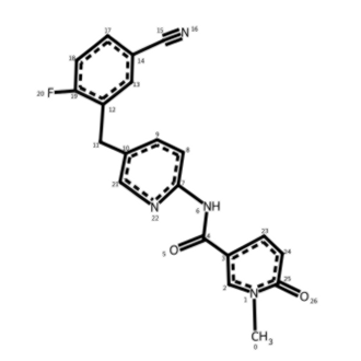 Cn1cc(C(=O)Nc2ccc(Cc3cc(C#N)ccc3F)cn2)ccc1=O